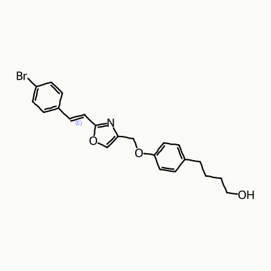 OCCCCc1ccc(OCc2coc(/C=C/c3ccc(Br)cc3)n2)cc1